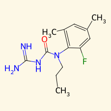 CCCN(C(=O)NC(=N)N)c1c(C)cc(C)cc1F